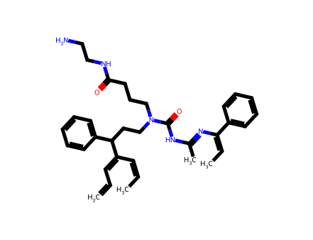 C=C/C=C(\C=C/C)C(CCN(CCCC(=O)NCCN)C(=O)N/C(C)=N/C(=C\C)c1ccccc1)c1ccccc1